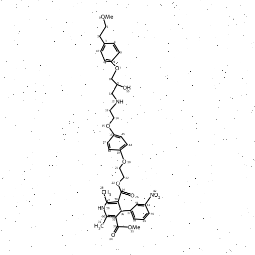 COCCc1ccc(OCC(O)CNCCOc2ccc(OCCOC(=O)C3=C(C)NC(C)=C(C(=O)OC)C3c3cccc([N+](=O)[O-])c3)cc2)cc1